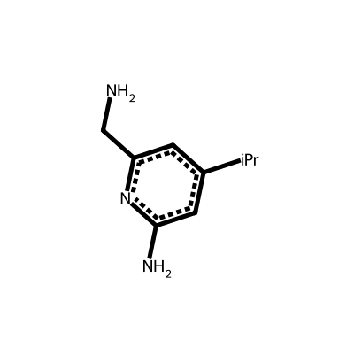 CC(C)c1cc(N)nc(CN)c1